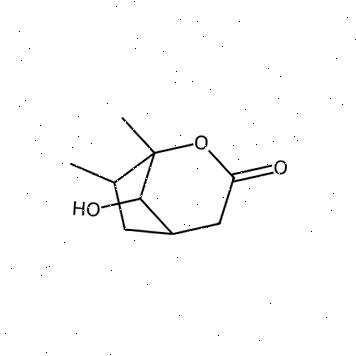 CC1CC2CC(=O)OC1(C)C2O